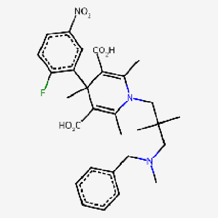 CC1=C(C(=O)O)C(C)(c2cc([N+](=O)[O-])ccc2F)C(C(=O)O)=C(C)N1CC(C)(C)CN(C)Cc1ccccc1